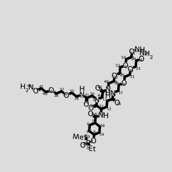 CCP(=O)(OC1CCC(C(=O)NC(CCC(=O)NCCOCCOCCON)C(=O)N(CC(=O)NCCOCCOCCON)CC(=O)NCCOCCOCCON)CC1)SC